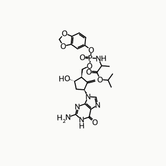 C=C1[C@H](COP(=O)(NC(C)C(=O)OC(C)C)Oc2ccc3c(c2)OCO3)[C@@H](O)C[C@@H]1n1cnc2c(=O)[nH]c(N)nc21